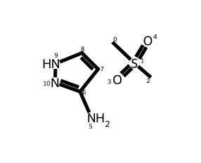 CS(C)(=O)=O.Nc1cc[nH]n1